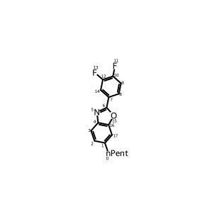 CCCCCc1ccc2nc(-c3ccc(F)c(F)c3)oc2c1